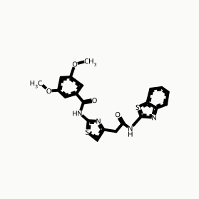 COc1cc(OC)cc(C(=O)Nc2nc(CC(=O)Nc3nc4ccccc4s3)cs2)c1